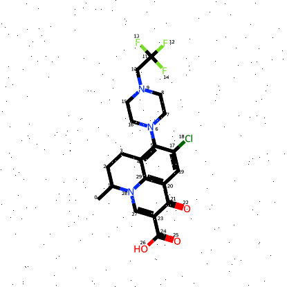 CC1CCc2c(N3CCN(CC(F)(F)F)CC3)c(Cl)cc3c(=O)c(C(=O)O)cn1c23